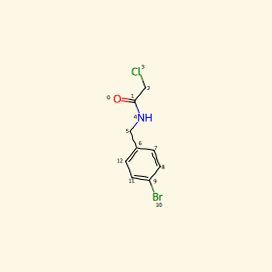 O=C(CCl)NCc1ccc(Br)cc1